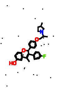 CC1=C(c2ccc(F)cc2)[C@H](c2ccc(OCC(C)N3CC[C@@H](C)C3)cc2)Oc2ccc(O)cc21